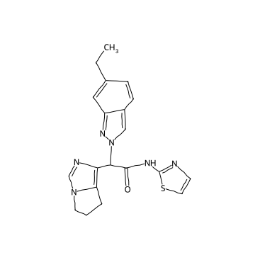 CCc1ccc2cn(C(C(=O)Nc3nccs3)c3ncn4c3CCC4)nc2c1